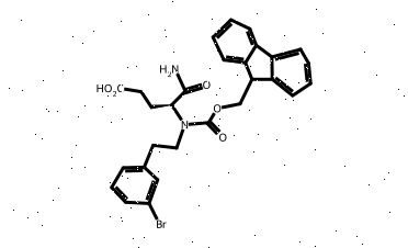 NC(=O)[C@H](CCC(=O)O)N(CCc1cccc(Br)c1)C(=O)OCC1c2ccccc2-c2ccccc21